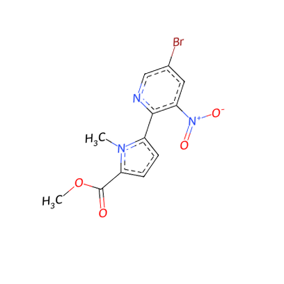 COC(=O)c1ccc(-c2ncc(Br)cc2[N+](=O)[O-])n1C